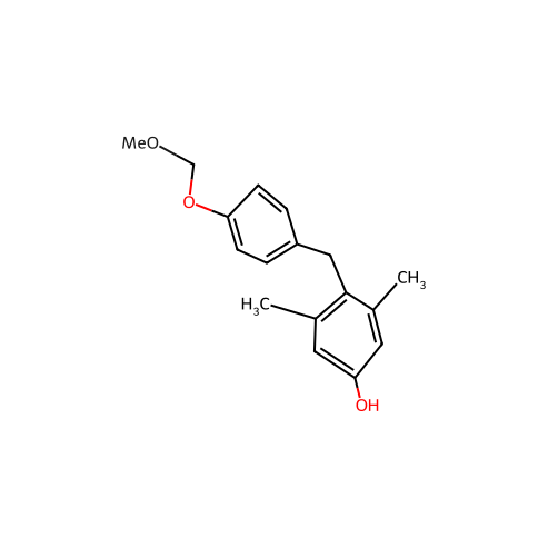 COCOc1ccc(Cc2c(C)cc(O)cc2C)cc1